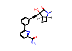 CN1C(=O)[C@@](O)(C#Cc2cccc(-c3cccc(C(N)=O)n3)c2)[C@@H]2CC[C@@H]21